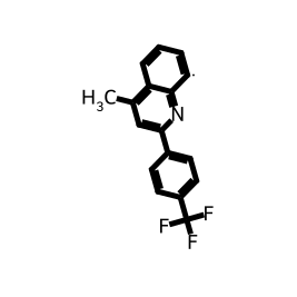 Cc1cc(-c2ccc(C(F)(F)F)cc2)nc2[c]cccc12